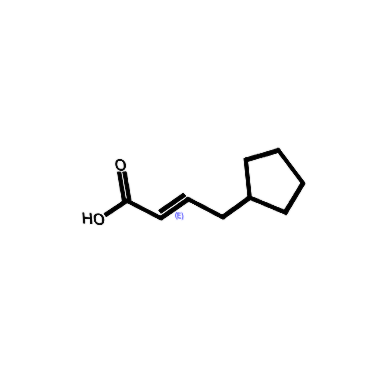 O=C(O)/C=C/CC1CCCC1